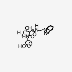 CC(C)C(CC(=O)NCCn1ncc2ccccc21)C(=O)NC(C=O)CC(=O)O